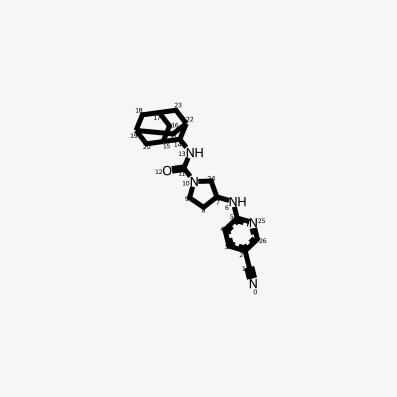 N#Cc1ccc(NC2CCN(C(=O)NC3C4CC5CC(C4)CC3C5)C2)nc1